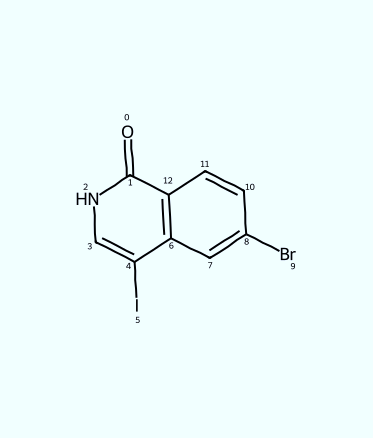 O=c1[nH]cc(I)c2cc(Br)ccc12